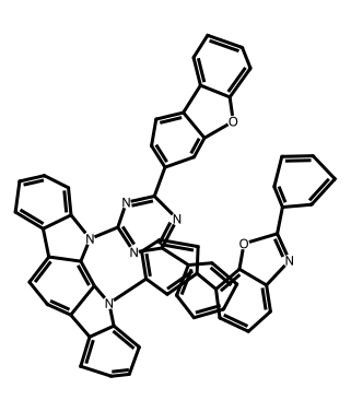 c1ccc(-c2nc(-c3ccc4c(c3)oc3ccccc34)nc(-n3c4ccccc4c4ccc5c6ccccc6n(-c6cccc(-c7cccc8nc(-c9ccccc9)oc78)c6)c5c43)n2)cc1